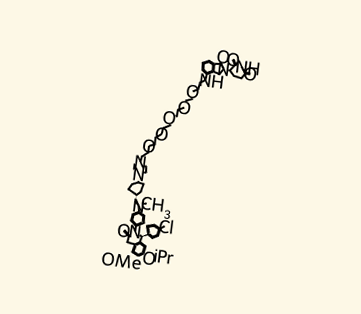 COc1cc2c(cc1OC(C)C)[C@H](c1ccc(Cl)cc1)N(c1ccc(N(C)C[C@H]3CC[C@H](N4CCN(CCOCCOCCOCCOCCOCCNc5cccc6c5CN(C5CCC(=O)NC5=O)C6=O)CC4)CC3)cc1)C(=O)C2